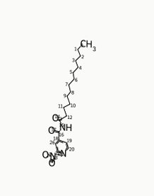 CCCCCCCCCCCCCC(=O)NC(=O)c1ccnc([N+](=O)[O-])c1